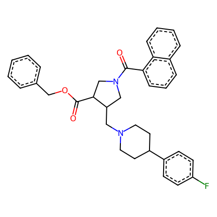 O=C(OCc1ccccc1)C1CN(C(=O)c2cccc3ccccc23)CC1CN1CCC(c2ccc(F)cc2)CC1